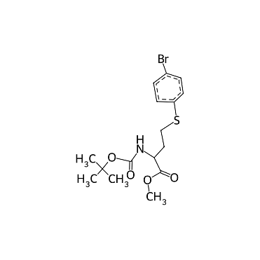 COC(=O)C(CCSc1ccc(Br)cc1)NC(=O)OC(C)(C)C